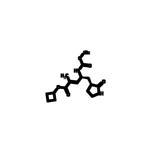 C/C(=C\[C@H](C[C@@H]1CCNC1=O)NC(=O)OC(C)(C)C)C(=O)OC1CCC1